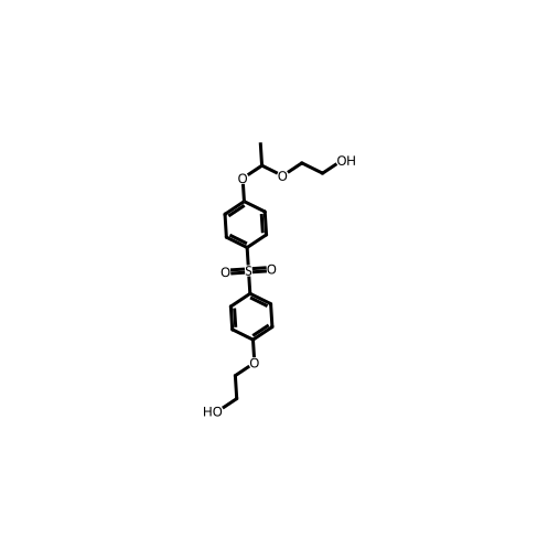 CC(OCCO)Oc1ccc(S(=O)(=O)c2ccc(OCCO)cc2)cc1